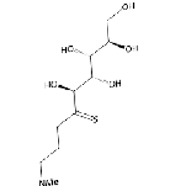 CNCCCC(=S)[C@@H](O)[C@@H](O)[C@H](O)[C@H](O)CO